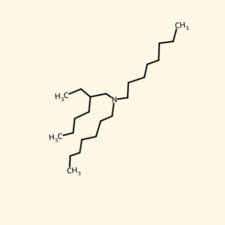 CCCCCCCCN(CCCCCCC)CC(CC)CCCC